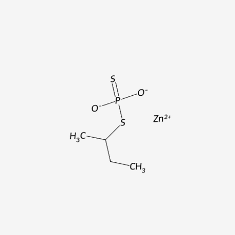 CCC(C)SP([O-])([O-])=S.[Zn+2]